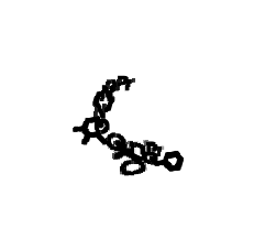 CCCN1CCN(C(=O)CC(C)C(C)CCOC(C)(CCC)C(=O)OCc2ccccc2)CC1